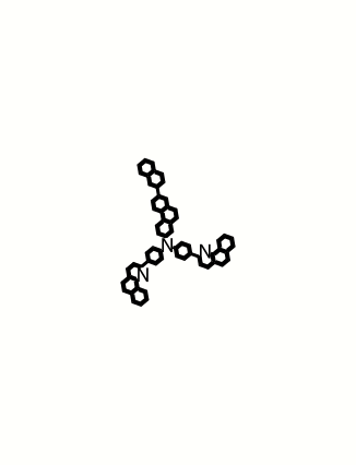 c1ccc2cc(-c3ccc4c(ccc5cc(N(c6ccc(-c7ccc8ccc9ccccc9c8n7)cc6)c6ccc(-c7ccc8ccc9ccccc9c8n7)cc6)ccc54)c3)ccc2c1